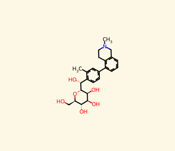 Cc1cc(-c2cccc3c2CCN(C)C3)ccc1[C@@H](O)[C@H]1O[C@H](CO)[C@@H](O)[C@H](O)[C@@H]1O